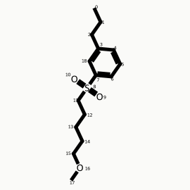 CCCc1cccc(S(=O)(=O)CCCCCOC)c1